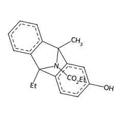 CCOC(=O)N1C2(C)c3ccccc3C1(CC)c1ccc(O)cc12